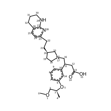 COC[C@H](C)Oc1cccc(C(CC(=O)O)CN2CC[C@@H](CCc3ccc4c(n3)NCCC4)C2)c1